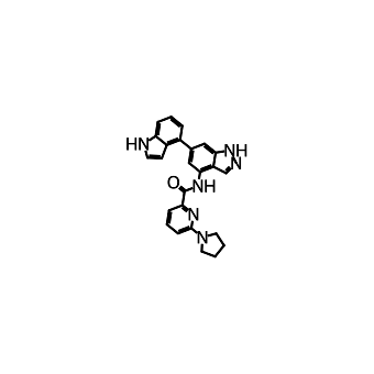 O=C(Nc1cc(-c2cccc3[nH]ccc23)cc2[nH]ncc12)c1cccc(N2CCCC2)n1